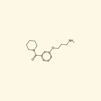 NCCCOc1cccc(C(=O)N2CCCCC2)c1